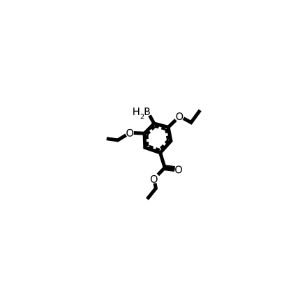 Bc1c(OCC)cc(C(=O)OCC)cc1OCC